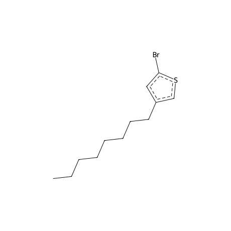 CCCCCCCCc1csc(Br)c1